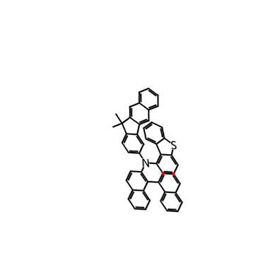 CC1(C)c2ccc(N(c3ccc4ccccc4c3-c3cccc4ccccc34)c3cccc4sc5ccccc5c34)cc2-c2cc3ccccc3cc21